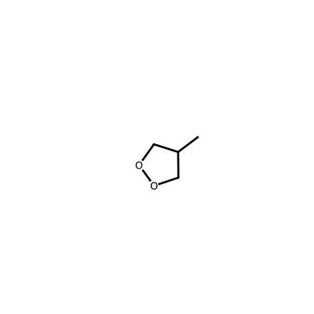 CC1COOC1